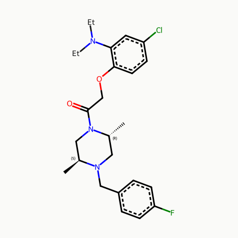 CCN(CC)c1cc(Cl)ccc1OCC(=O)N1C[C@H](C)N(Cc2ccc(F)cc2)C[C@H]1C